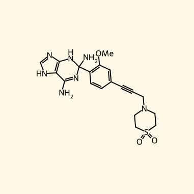 COc1cc(C#CCN2CCS(=O)(=O)CC2)ccc1C1(N)N=C(N)c2[nH]cnc2N1